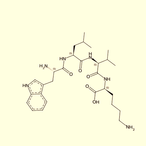 CC(C)C[C@H](NC(=O)[C@@H](N)Cc1c[nH]c2ccccc12)C(=O)N[C@H](C(=O)N[C@@H](CCCCN)C(=O)O)C(C)C